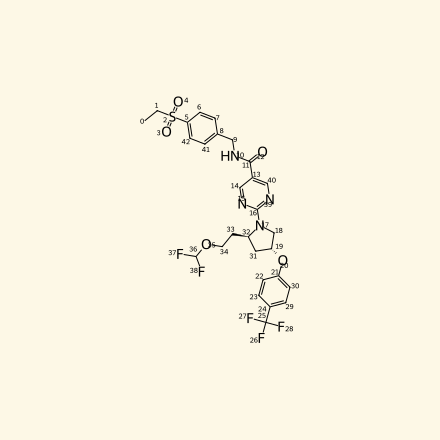 CCS(=O)(=O)c1ccc(CNC(=O)c2cnc(N3C[C@H](Oc4ccc(C(F)(F)F)cc4)C[C@H]3CCOC(F)F)nc2)cc1